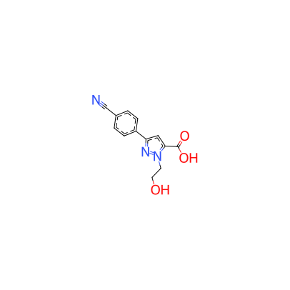 N#Cc1ccc(-c2cc(C(=O)O)n(CCO)n2)cc1